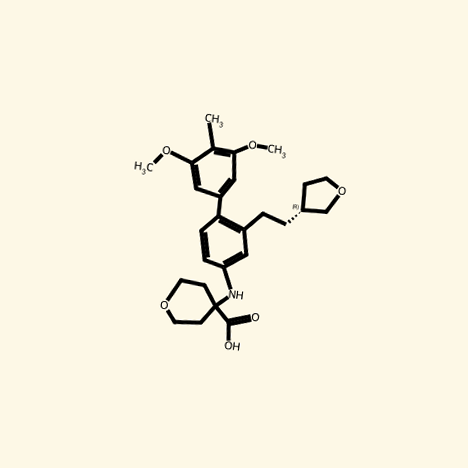 COc1cc(-c2ccc(NC3(C(=O)O)CCOCC3)cc2CC[C@@H]2CCOC2)cc(OC)c1C